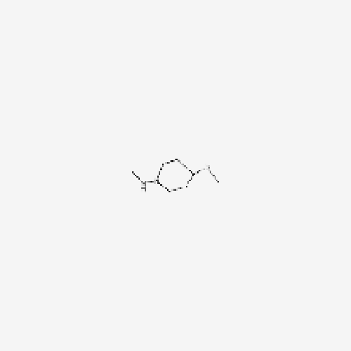 CNN1CCC(OC)CC1